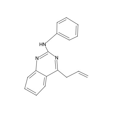 C=CCc1nc(Nc2ccccc2)nc2ccccc12